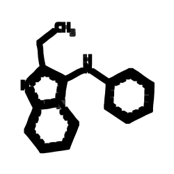 CCc1nc2ccccn2c1Nc1ccccc1